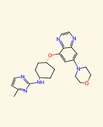 Cc1ccnc(N[C@H]2CC[C@@H](Oc3cc(N4CCOCC4)cc4nccnc34)CC2)n1